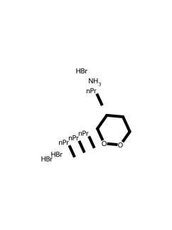 Br.Br.Br.C1CCOOC1.CCCC.CCCC.CCCC.CCCC.N